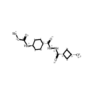 CC(C)(C)OC(=O)N[C@H]1CC[C@H](C(=O)NNC(=O)[C@H]2C[C@@H](C(F)(F)F)C2)CC1